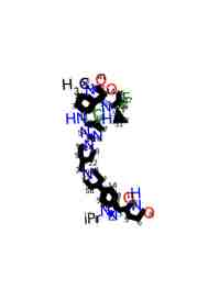 CC(C)n1nc(C2CCC(=O)NC2=O)c2ccc(C3CCN(CC4CCN(c5ncc(Cl)c(Nc6ccc7c(c6)c6c(c(=O)n7C)OCC(F)(F)[C@H](C7CC7)N6)n5)CC4)CC3)cc21